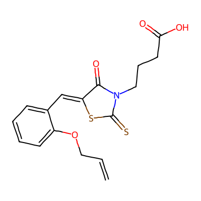 C=CCOc1ccccc1/C=C1\SC(=S)N(CCCC(=O)O)C1=O